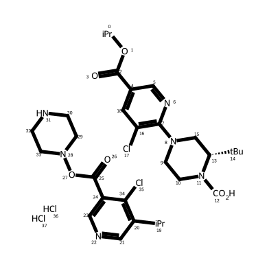 CC(C)OC(=O)c1cnc(N2CCN(C(=O)O)[C@@H](C(C)(C)C)C2)c(Cl)c1.CC(C)c1cncc(C(=O)ON2CCNCC2)c1Cl.Cl.Cl